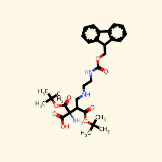 CC(C)(C)OC(=O)C(CNCCNC(=O)OCC1c2ccccc2-c2ccccc21)[C@](N)(C(=O)O)C(=O)OC(C)(C)C